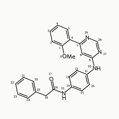 COc1ccccc1-c1cc(Nc2ccc(NC(=O)Cc3ccccc3)cc2)ncn1